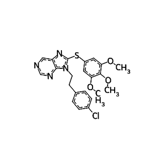 COc1cc(Sc2nc3cncnc3n2CCc2ccc(Cl)cc2)cc(OC)c1OC